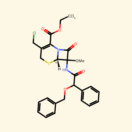 COC1(NC(=O)C(OCc2ccccc2)c2ccccc2)C(=O)N2C(C(=O)OCC(Cl)(Cl)Cl)=C(CCl)CS[C@H]21